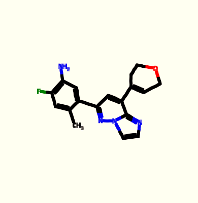 Cc1cc(F)c(N)cc1-c1cc(C2=CCOCC2)c2nccn2n1